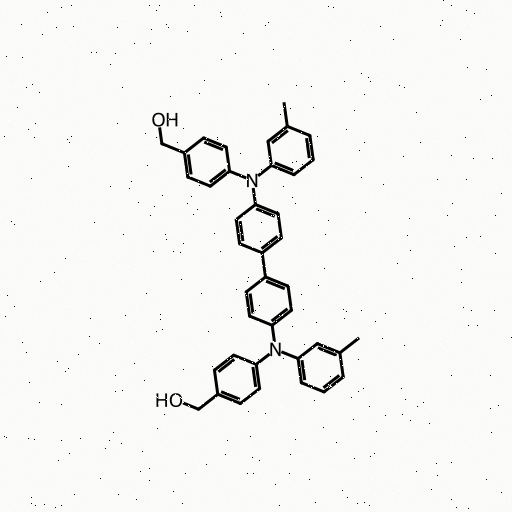 Cc1cccc(N(c2ccc(CO)cc2)c2ccc(-c3ccc(N(c4ccc(CO)cc4)c4cccc(C)c4)cc3)cc2)c1